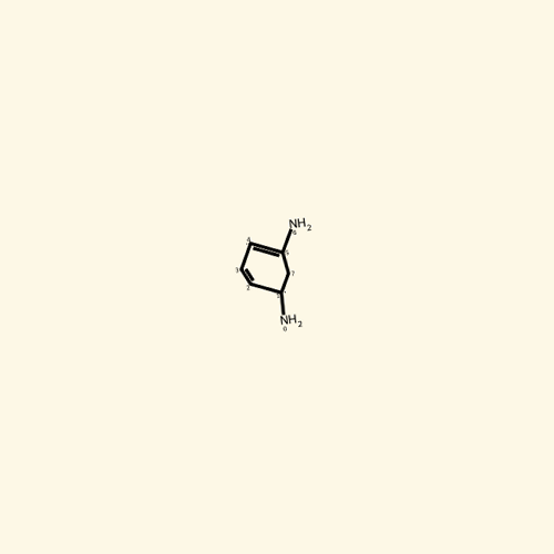 N[C]1C=C[C]=C(N)C1